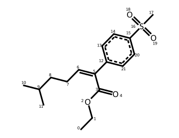 CCOC(=O)C(=CCCC(C)C)c1ccc(S(C)(=O)=O)cc1